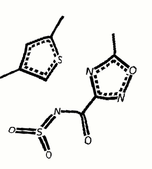 Cc1csc(C)c1.Cc1nc(C(=O)N=S(=O)=O)no1